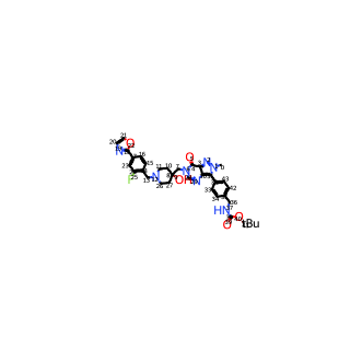 Cn1nc2c(=O)n(CC3(O)CCN(Cc4ccc(-c5ncco5)cc4F)CC3)cnc2c1-c1ccc(CNC(=O)OC(C)(C)C)cc1